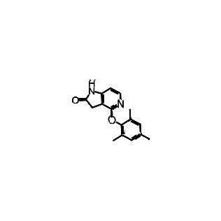 Cc1cc(C)c(Oc2nccc3c2CC(=O)N3)c(C)c1